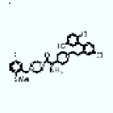 CSc1ccccc1CN1CCN(C(=O)[C@H](N)C2CCN(CCc3cc(Cl)ccc3-c3cc(O)ccc3Cl)CC2)CC1